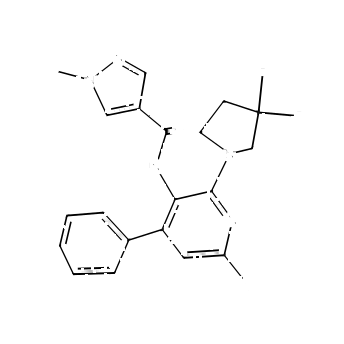 CC(C)n1cc(C(=O)Nc2c(-c3ccccc3)cc(Cl)nc2N2CCC(F)(F)C2)cn1